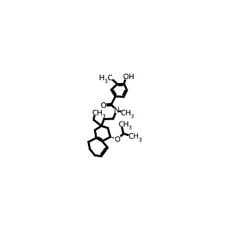 CCC1(CCN(C)C(=O)c2ccc(O)c(C)c2)CC2=C(C=CCCC2)[C@@H](OC(C)C)C1